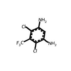 Nc1cc(N)c(Cl)c(C(F)(F)F)c1Cl